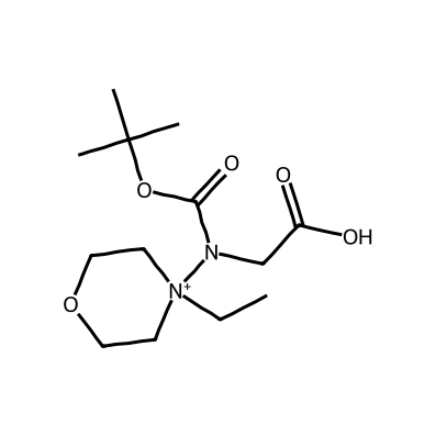 CC[N+]1(N(CC(=O)O)C(=O)OC(C)(C)C)CCOCC1